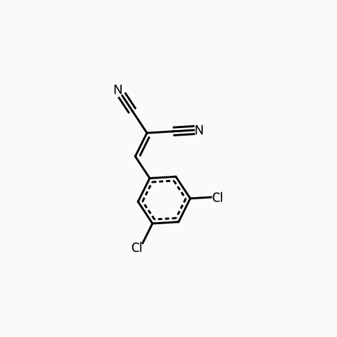 N#CC(C#N)=Cc1cc(Cl)cc(Cl)c1